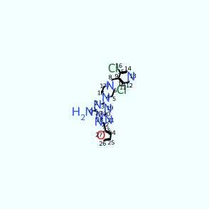 Nc1nc(N2CCN(Cc3c(Cl)cncc3Cl)CC2)nc2nc(-c3ccco3)nn12